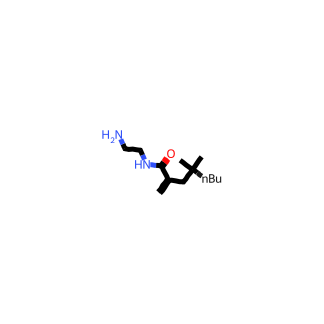 C=C(CC(C)(C)CCCC)C(=O)NCCN